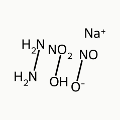 NN.O=N[O-].O=[N+]([O-])O.[Na+]